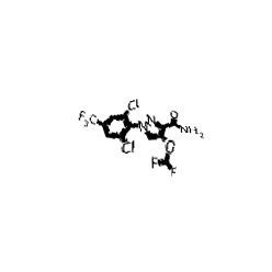 NC(=O)c1nn(-c2c(Cl)cc(C(F)(F)F)cc2Cl)cc1OC(F)F